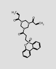 C=CC(=O)N1CN(C(=O)C=C)CN(C(=O)CCP2(=O)Oc3ccccc3-c3ccccc32)C1